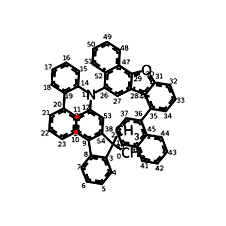 CC1(C)c2ccccc2-c2ccc(N(c3ccccc3-c3ccccc3)c3cc4c(oc5cccc(-c6cccc7ccccc67)c54)c4ccccc34)cc21